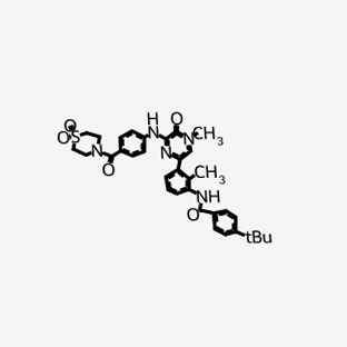 Cc1c(NC(=O)c2ccc(C(C)(C)C)cc2)cccc1-c1cn(C)c(=O)c(Nc2ccc(C(=O)N3CCS(=O)(=O)CC3)cc2)n1